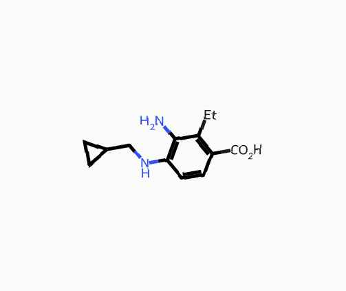 CCc1c(C(=O)O)ccc(NCC2CC2)c1N